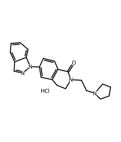 Cl.O=C1c2ccc(-n3ncc4ccccc43)cc2CCN1CCN1CCCC1